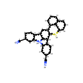 N#Cc1ccc2c3cc4c5cccc6cccc(sc4c4c7ccc(C#N)cc7n(c2c1)c34)c65